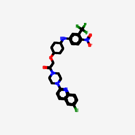 O=C(COC1CCC(Nc2ccc([N+](=O)[O-])c(C(F)(F)F)c2)CC1)N1CCN(c2ccc3cc(Cl)ccc3n2)CC1